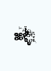 C=C/C=C1\C(=C)C(C)(C)c2cc(N(c3ccc(C4C=CC=CC4C)cc3)c3ccc4c(c3)C3(c5ccccc5-c5ccccc53)c3ccccc3-4)ccc21